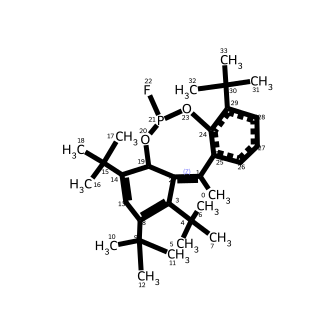 C/C1=C2\C(C(C)(C)C)=C(C(C)(C)C)C=C(C(C)(C)C)C2OP(F)Oc2c1cccc2C(C)(C)C